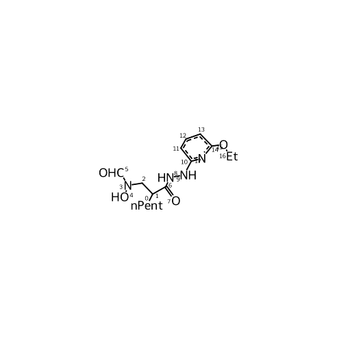 CCCCCC(CN(O)C=O)C(=O)NNc1cccc(OCC)n1